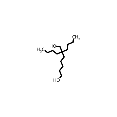 CCCCC(CO)(CCCC)CCCCCO